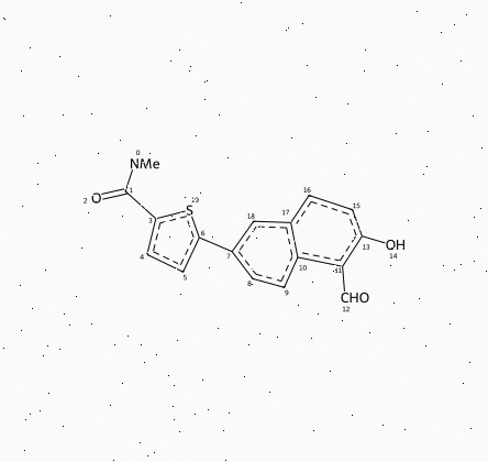 CNC(=O)c1ccc(-c2ccc3c(C=O)c(O)ccc3c2)s1